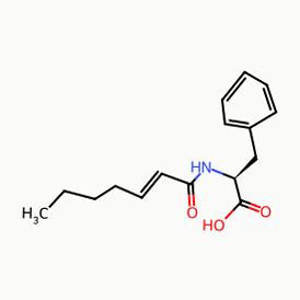 CCCC/C=C/C(=O)N[C@@H](Cc1ccccc1)C(=O)O